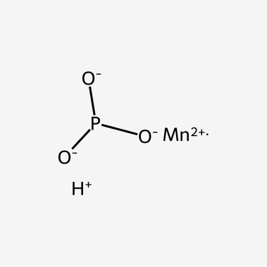 [H+].[Mn+2].[O-]P([O-])[O-]